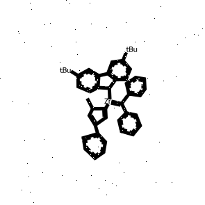 CC1C=C(c2ccccc2)C=[C]1[Zr](=[C](c1ccccc1)c1ccccc1)[CH]1c2ccc(C(C)(C)C)cc2-c2cc(C(C)(C)C)ccc21